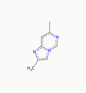 Cc1cn2cnc(I)cc2n1